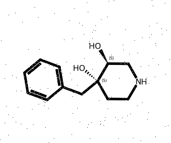 O[C@H]1CNCC[C@@]1(O)Cc1ccccc1